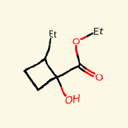 CCOC(=O)C1(O)CCC1CC